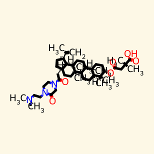 C=C(C)[C@@H]1CC[C@]2(CC(=O)N3CCN(CCN(C)C)C(=O)C3)CC[C@]3(C)[C@H](CC[C@@H]4[C@@]5(C)CC[C@H](OC(=O)CC(C)(C)C(=O)O)C(C)(C)[C@@H]5CC[C@]43C)[C@@H]12